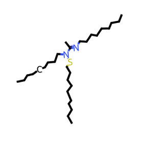 CCCCCCCCCCSN(CCCCCCCCC)/C(C)=N/CCCCCCCCC